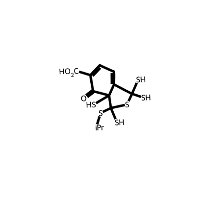 CC(C)SC1(S)SC(S)(S)C2=CC=C(C(=O)O)C(=O)C21S